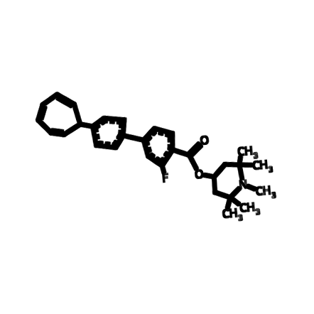 CN1C(C)(C)CC(OC(=O)c2ccc(-c3ccc(C4C=CC=CC=C4)cc3)cc2F)CC1(C)C